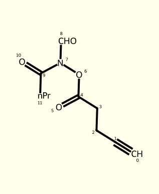 C#CCCC(=O)ON(C=O)C(=O)CCC